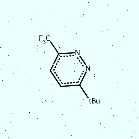 CC(C)(C)c1ccc(C(F)(F)F)nn1